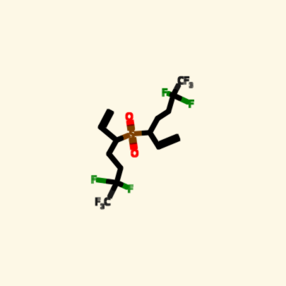 C=CC(CCC(F)(F)C(F)(F)F)S(=O)(=O)C(C=C)CCC(F)(F)C(F)(F)F